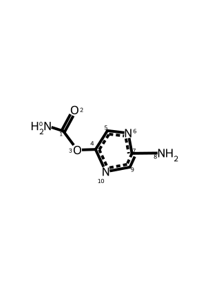 NC(=O)Oc1cnc(N)cn1